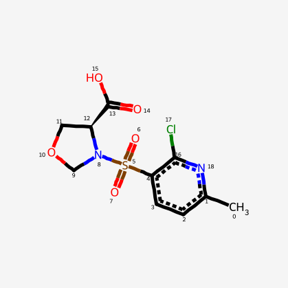 Cc1ccc(S(=O)(=O)N2COC[C@H]2C(=O)O)c(Cl)n1